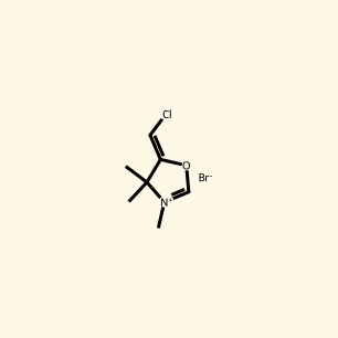 C[N+]1=CO/C(=C\Cl)C1(C)C.[Br-]